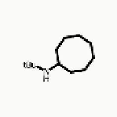 CC(C)(C)NC1CCCCCCC1